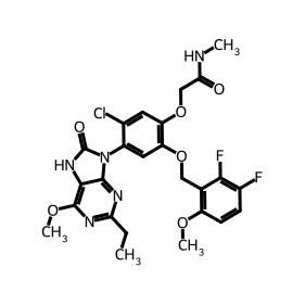 CCc1nc(OC)c2[nH]c(=O)n(-c3cc(OCc4c(OC)ccc(F)c4F)c(OCC(=O)NC)cc3Cl)c2n1